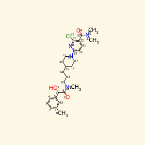 Cc1cccc(C(O)C(=O)N(C)CCCC2CCN(c3ccc(C(=O)N(C)C)c(Cl)n3)CC2)c1